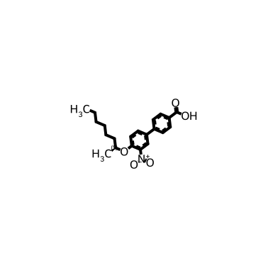 CCCCCC[C@H](C)Oc1ccc(-c2ccc(C(=O)O)cc2)cc1[N+](=O)[O-]